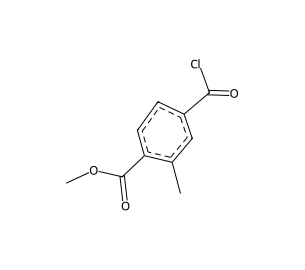 COC(=O)c1ccc(C(=O)Cl)cc1C